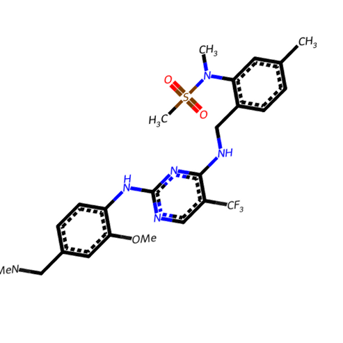 CNCc1ccc(Nc2ncc(C(F)(F)F)c(NCc3ccc(C)cc3N(C)S(C)(=O)=O)n2)c(OC)c1